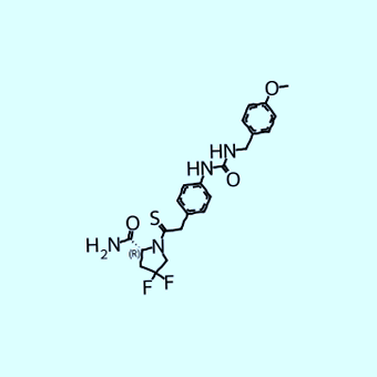 COc1ccc(CNC(=O)Nc2ccc(CC(=S)N3CC(F)(F)C[C@@H]3C(N)=O)cc2)cc1